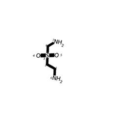 NCCS(=O)(=O)CN